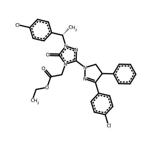 CCOC(=O)Cn1c(N2CC(c3ccccc3)C(c3ccc(Cl)cc3)=N2)nn([C@@H](C)c2ccc(Cl)cc2)c1=O